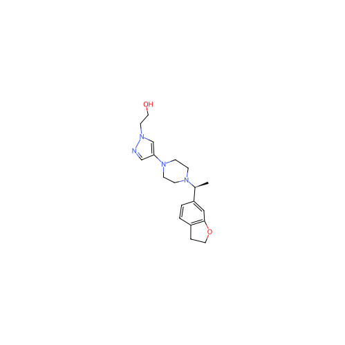 C[C@@H](c1ccc2c(c1)OCC2)N1CCN(c2cnn(CCO)c2)CC1